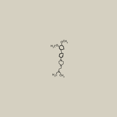 CCN(CC)CCN1CCN(c2ccc(-c3ccc(OC)c(OC)c3)cc2)CC1